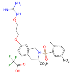 Cc1ccc([N+](=O)[O-])cc1S(=O)(=O)N1Cc2cc(OCCCONC(=N)N)ccc2C[C@H]1C(=O)O.O=C(O)C(F)(F)F